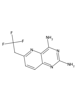 Nc1nc(N)c2nc(CC(F)(F)F)ccc2n1